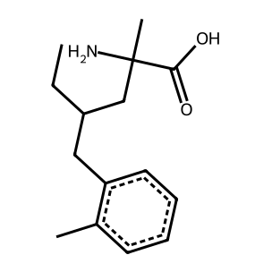 CCC(Cc1ccccc1C)CC(C)(N)C(=O)O